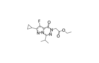 CCOC(=O)Cn1nc(C(C)C)n2nc(C3CC3)c(F)c2c1=O